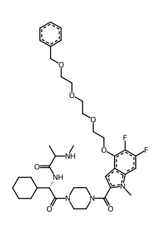 CNC(C)C(=O)N[C@H](C(=O)N1CCN(C(=O)c2cc3c(OCCOCCOCCOCc4ccccc4)c(F)c(F)cc3n2C)CC1)C1CCCCC1